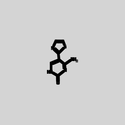 Nc1nc(=O)[nH]cc1-c1nccs1